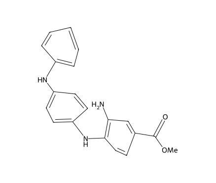 COC(=O)c1ccc(Nc2ccc(Nc3ccccc3)cc2)c(N)c1